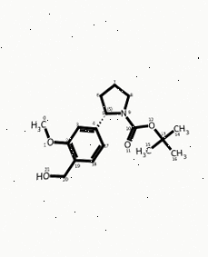 COc1cc([C@@H]2CCCN2C(=O)OC(C)(C)C)ccc1CO